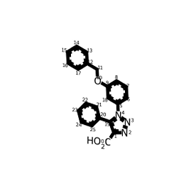 O=C(O)c1nnn(-c2cccc(OCc3ccccc3)c2)c1-c1ccccc1